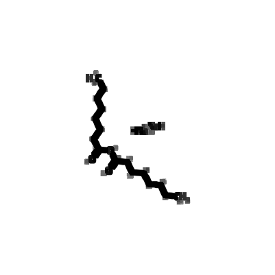 CCCCCCCC(=O)OC(=O)CCCCCCC.[NaH].[NaH]